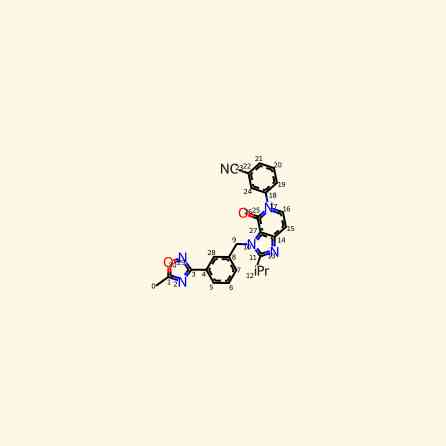 Cc1nc(-c2cccc(Cn3c(C(C)C)nc4ccn(-c5cccc(C#N)c5)c(=O)c43)c2)no1